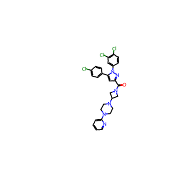 O=C(c1cc(-c2ccc(Cl)cc2)n(-c2ccc(Cl)c(Cl)c2)n1)N1CC(N2CCN(c3ccccn3)CC2)C1